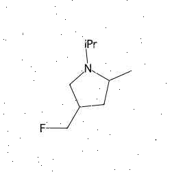 CC(C)N1CC(CF)CC1C